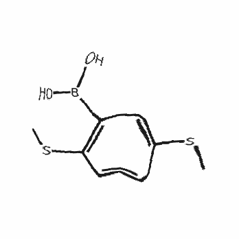 CSc1ccc(SC)c(B(O)O)c1